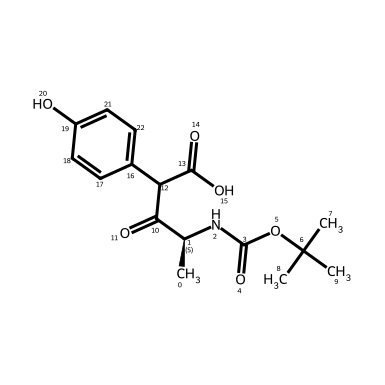 C[C@H](NC(=O)OC(C)(C)C)C(=O)C(C(=O)O)c1ccc(O)cc1